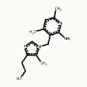 Cc1cc(C)c(C[n+]2csc(CCO)c2C)c(N)n1